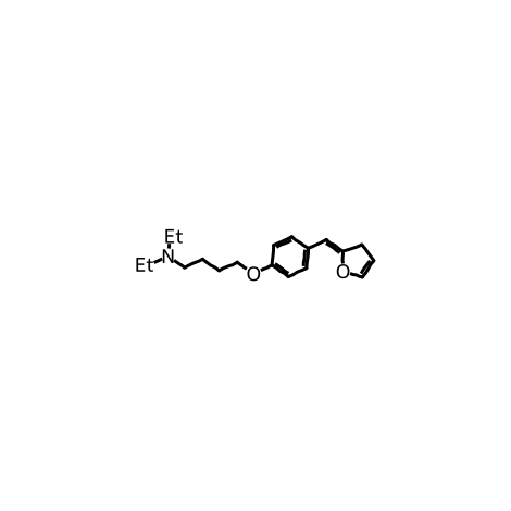 CCN(CC)CCCCOc1ccc(C=C2CC=CO2)cc1